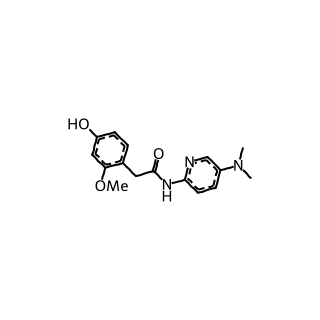 COc1cc(O)ccc1CC(=O)Nc1ccc(N(C)C)cn1